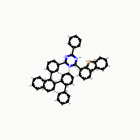 c1ccc(-c2nc(-c3cccc(-c4c(-c5ccccc5-c5ccccc5)ccc5ccccc45)c3)nc(-c3cccc4c3sc3ccccc34)n2)cc1